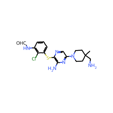 CC1(CN)CCN(c2cnc(Sc3cccc(NC=O)c3Cl)c(N)n2)CC1